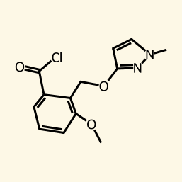 COc1cccc(C(=O)Cl)c1COc1ccn(C)n1